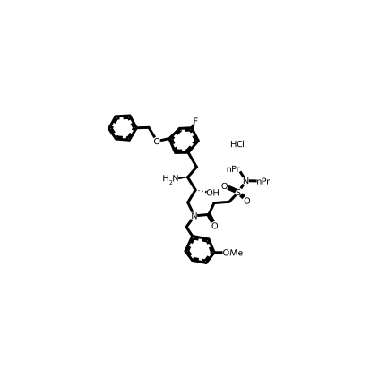 CCCN(CCC)S(=O)(=O)CCC(=O)N(Cc1cccc(OC)c1)C[C@@H](O)[C@@H](N)Cc1cc(F)cc(OCc2ccccc2)c1.Cl